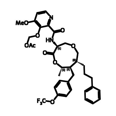 COc1ccnc(C(=O)N[C@H]2COC[C@H](CCCc3ccccc3)[C@@H](Cc3ccc(OC(F)(F)F)cc3)[C@H](C)OC2=O)c1OCOC(C)=O